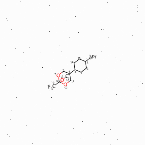 CCCC1CCC(C23COC(C(F)(F)F)(OC2)OC3)CC1